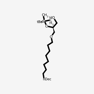 CCCCCCCCCCCCCCCCCCOC[C@H](CO)O[Si](C)(C)C(C)(C)C